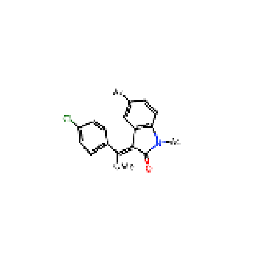 COC(=C1C(=O)N(C(C)=O)c2ccc(C(C)=O)cc21)c1ccc(Cl)cc1